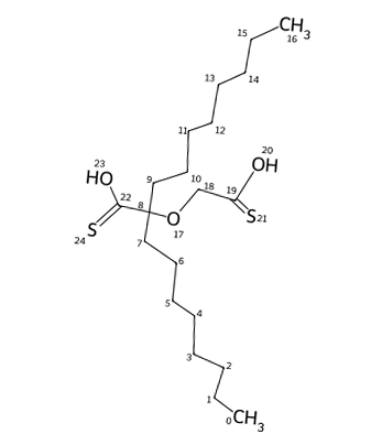 CCCCCCCCC(CCCCCCCC)(OCC(O)=S)C(O)=S